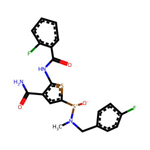 CN(Cc1ccc(F)cc1)[S+]([O-])c1cc(C(N)=O)c(NC(=O)c2ccccc2F)s1